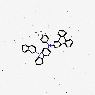 Cc1ccc(N(c2ccc3c4ccccc4c4ccccc4c3c2)c2ccc3c4ccccc4n(C4C=Cc5ccccc5C4)c3c2)cc1